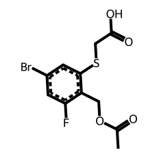 CC(=O)OCc1c(F)cc(Br)cc1SCC(=O)O